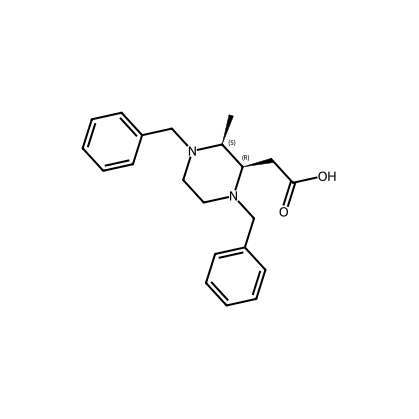 C[C@H]1[C@@H](CC(=O)O)N(Cc2ccccc2)CCN1Cc1ccccc1